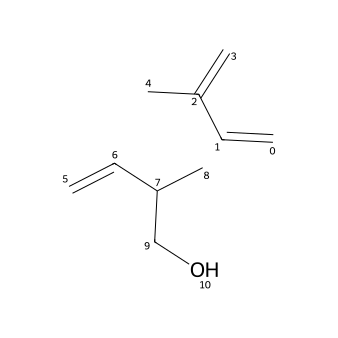 C=CC(=C)C.C=CC(C)CO